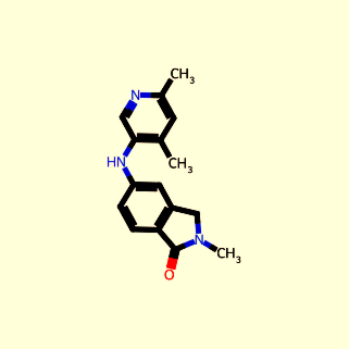 Cc1cc(C)c(Nc2ccc3c(c2)CN(C)C3=O)cn1